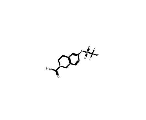 O=C(O)N1CCc2cc(OS(=O)(=O)C(F)(F)F)ccc2C1